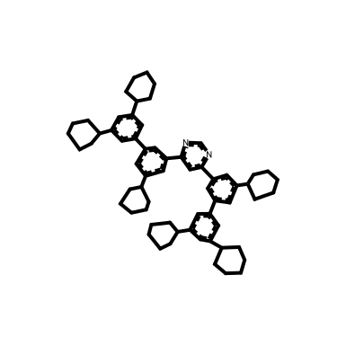 c1nc(-c2cc(-c3cc(C4CCCCC4)cc(C4CCCCC4)c3)cc(C3CCCCC3)c2)cc(-c2cc(-c3cc(C4CCCCC4)cc(C4CCCCC4)c3)cc(C3CCCCC3)c2)n1